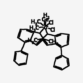 CC1=Cc2c(-c3ccccc3)cccc2[CH]1[Zr]([CH3])([CH3])([Cl])([Cl])(=[GeH2])[CH]1C(C)=Cc2c(-c3ccccc3)cccc21